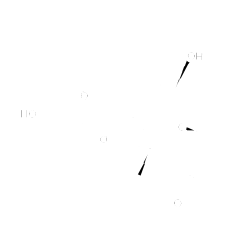 C=C[C@]1(C)C[C@@H](OC(=O)CO)[C@]2(C)C(C)CC[C@]3(CCC(=O)C32)[C@@H](C)[C@@H]1O